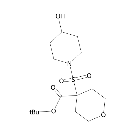 CC(C)(C)OC(=O)C1(S(=O)(=O)N2CCC(O)CC2)CCOCC1